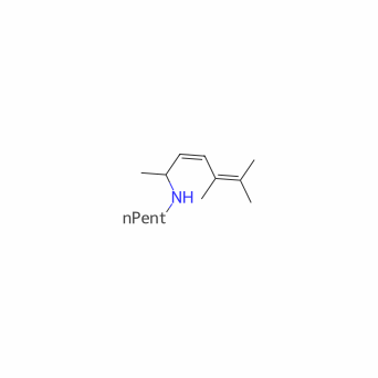 CCCCCNC(C)/C=C\C(C)=C(C)C